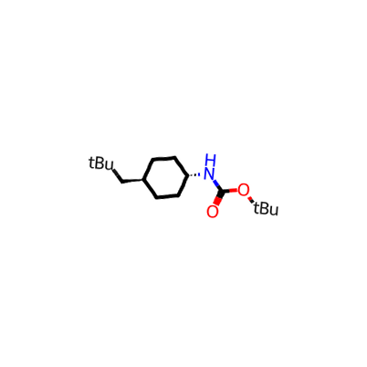 CC(C)(C)C[C@H]1CC[C@H](NC(=O)OC(C)(C)C)CC1